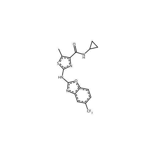 Cc1sc(Nc2nc3cc(C(F)(F)F)ccc3o2)nc1C(=O)NC1CC1